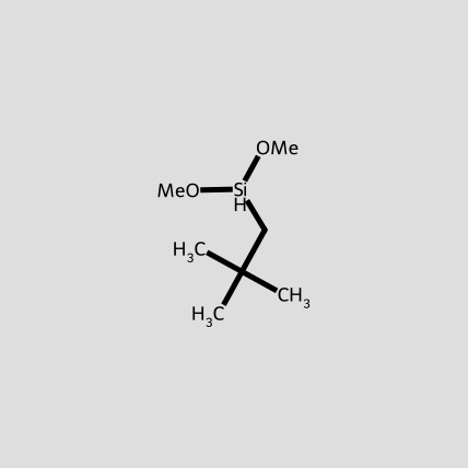 CO[SiH](CC(C)(C)C)OC